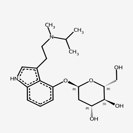 CC(C)N(C)CCc1c[nH]c2cccc(O[C@@H]3C[C@@H](O)[C@H](O)[C@@H](CO)O3)c12